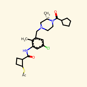 CC(=O)SC1CCC1C(=O)Nc1cc(Cl)cc(CN2CCN(C(=O)C3CCCC3)[C@@H](C)C2)c1C